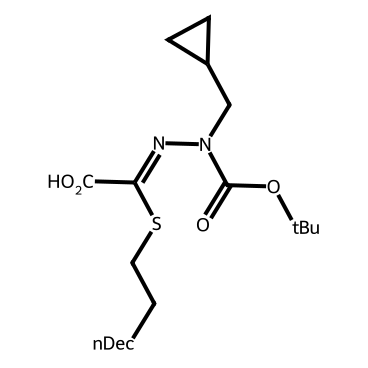 CCCCCCCCCCCCSC(=NN(CC1CC1)C(=O)OC(C)(C)C)C(=O)O